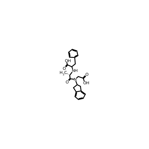 C[C@H](NC(Cc1ccccc1)C(=O)O)C(=O)N(CC(=O)O)C1Cc2ccccc2C1